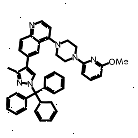 COc1cccc(N2CCN(c3ccnc4ccc(-c5cn(C(c6ccccc6)(c6ccccc6)C6C=CC=CC6)nc5C)cc34)CC2)n1